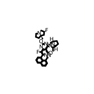 N#Cc1cccc2cccc(-c3nc4c5c(nc(OC[C@@]67CCCN6C[C@H](F)C7)nc5c3F)N3C[C@@H]5CC[C@@H](N5)C3CO4)c12